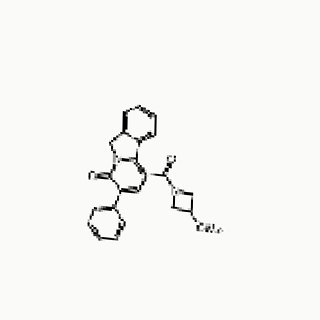 COC1CN(C(=O)c2cc(-c3ccccc3)c(=O)n3c2-c2ccccc2C3)C1